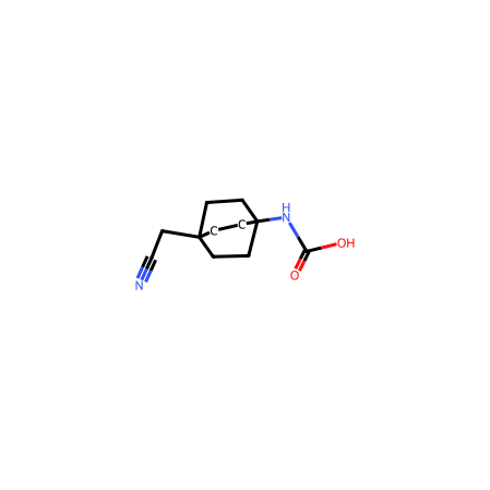 N#CCC12CCC(NC(=O)O)(CC1)CC2